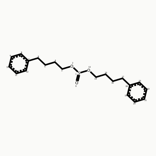 O=S(OCCCCc1ccccc1)OCCCCc1ccccc1